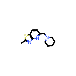 Cc1nc2nc(CN3CCCCC3)ccc2s1